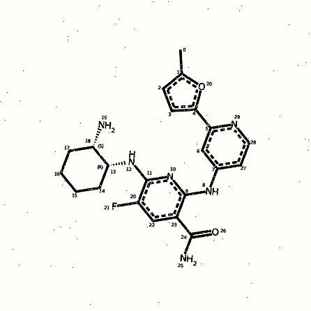 Cc1ccc(-c2cc(Nc3nc(N[C@@H]4CCCC[C@@H]4N)c(F)cc3C(N)=O)ccn2)o1